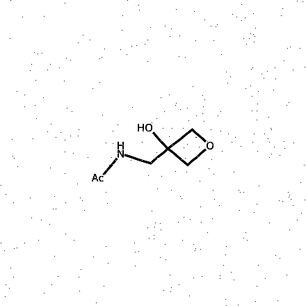 CC(=O)NCC1(O)COC1